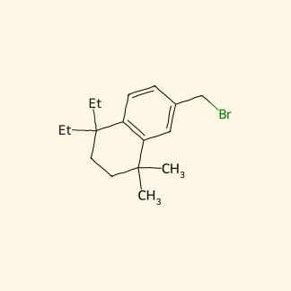 CCC1(CC)CCC(C)(C)c2cc(CBr)ccc21